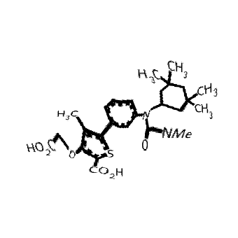 CNC(=O)N(c1cccc(-c2sc(C(=O)O)c(OCC(=O)O)c2C)c1)C1CC(C)(C)CC(C)(C)C1